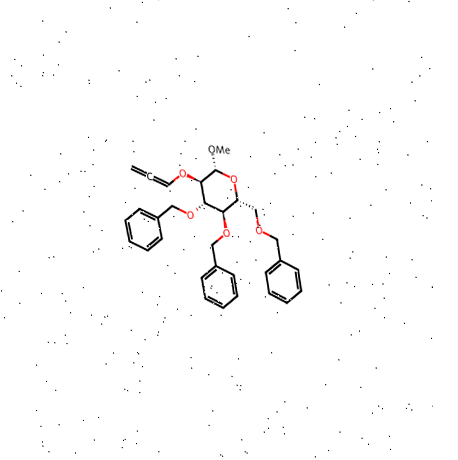 C=C=CO[C@H]1[C@H](OC)O[C@H](COCc2ccccc2)[C@@H](OCc2ccccc2)[C@@H]1OCc1ccccc1